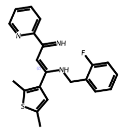 Cc1cc(/C(=C/C(=N)c2ccccn2)NCc2ccccc2F)c(C)s1